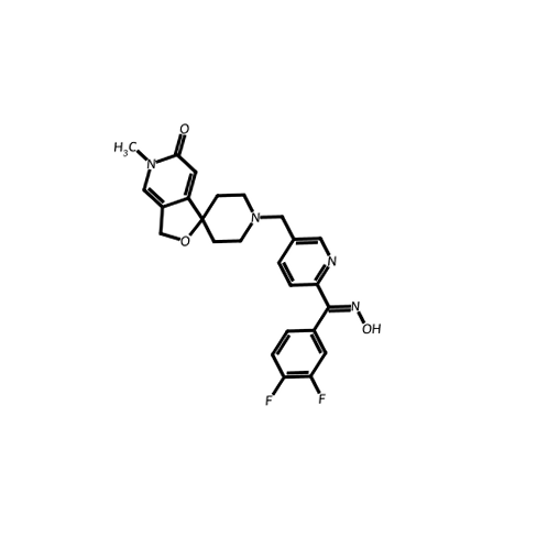 Cn1cc2c(cc1=O)C1(CCN(Cc3ccc(C(=NO)c4ccc(F)c(F)c4)nc3)CC1)OC2